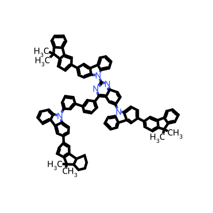 CC1(C)c2ccccc2-c2cc(-c3ccc4c(c3)c3ccccc3n4-c3ccc4nc(-n5c6ccccc6c6cc(-c7ccc8c(c7)-c7ccccc7C8(C)C)ccc65)nc(-c5cccc(-c6cccc(-n7c8ccccc8c8cc(-c9ccc%10c(c9)C9CCCCC9C%10(C)C)ccc87)c6)c5)c4c3)ccc21